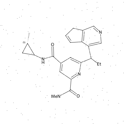 CCC(c1cc(C(=O)NC2C[C@@H]2C)cc(C(=O)NC)n1)c1cncc2c1C=CC2